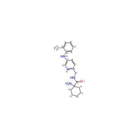 NC1(C(=O)NCc2ccc(Nc3ccccc3C(F)(F)F)cn2)CCCCC1